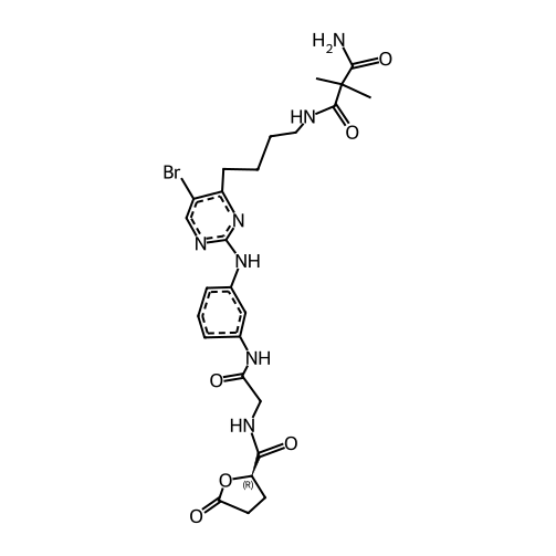 CC(C)(C(N)=O)C(=O)NCCCCc1nc(Nc2cccc(NC(=O)CNC(=O)[C@H]3CCC(=O)O3)c2)ncc1Br